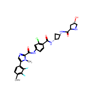 COc1ccc(-c2cnc(C(=O)Nc3ccc(C(=O)N[C@H]4C[C@@H](NC(=O)C5C[C@@H](O)CN5)C4)c(Cl)c3)n2C)c(F)c1F